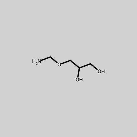 N[CH]OCC(O)CO